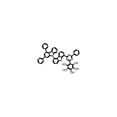 Oc1c(O)c(O)c(-c2nc(-c3ccccc3)nc(-c3cccc4c3sc3cccc(-n5c6ccccc6c6c(-c7ccccc7)cc(-c7ccccc7)cc65)c34)n2)c(O)c1O